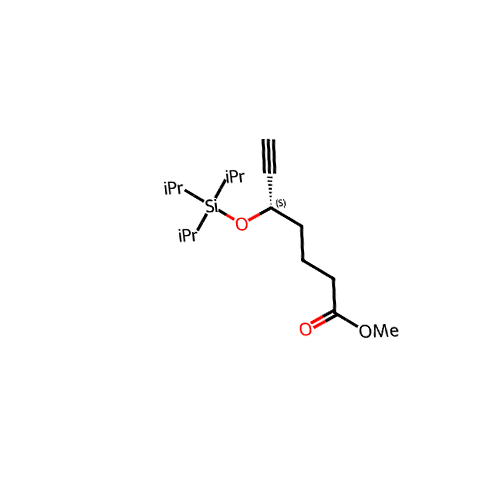 C#C[C@H](CCCC(=O)OC)O[Si](C(C)C)(C(C)C)C(C)C